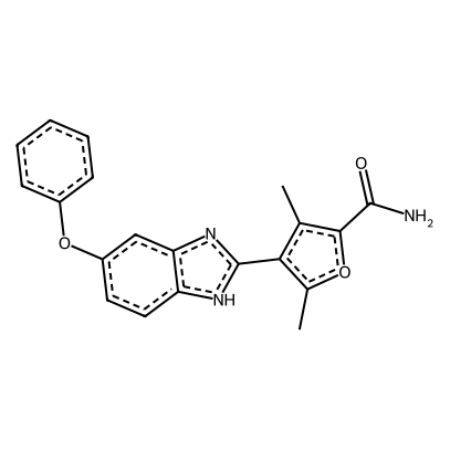 Cc1oc(C(N)=O)c(C)c1-c1nc2cc(Oc3ccccc3)ccc2[nH]1